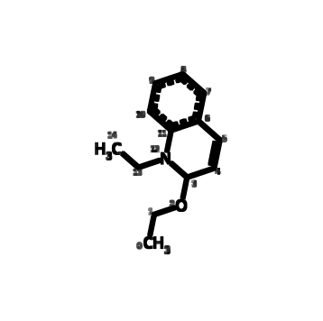 CCOC1C=Cc2ccccc2N1CC